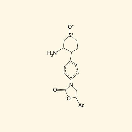 CC(=O)C1CN(c2ccc(C3CC[S+]([O-])CC3N)cc2)C(=O)O1